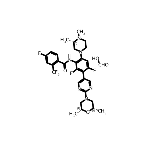 C[C@@H]1CN(c2ncc(-c3c(F)cc(N4CCN(C)[C@@H](C)C4)c(NC(=O)c4ccc(F)cc4C(F)(F)F)c3F)cn2)C[C@H](C)O1.O=CO